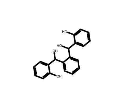 Oc1ccccc1C(O)c1ccccc1C(O)c1ccccc1O